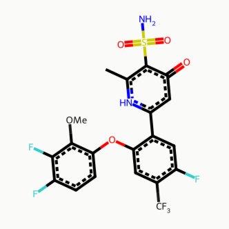 COc1c(Oc2cc(C(F)(F)F)c(F)cc2-c2cc(=O)c(S(N)(=O)=O)c(C)[nH]2)ccc(F)c1F